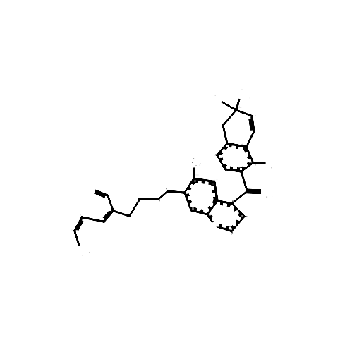 C=C/C(=C\C=C/C)CCCCc1cc2nccc(C(=C)c3ccc4c(c3CC)C=CC(C)(C)C4)c2cc1NC